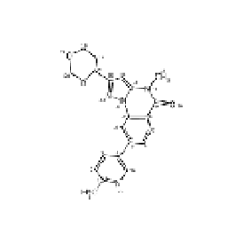 Cc1ccc(-c2ccc3c(=O)n(C)c4cc(C5CCOCC5)nn4c3c2)cn1